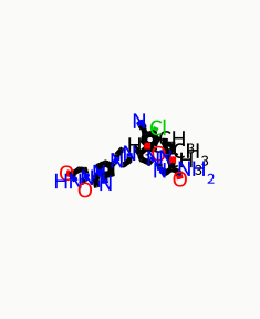 CC1(C)CC(C)(C)C1(Oc1ccc(C#N)c(Cl)c1)N1C=C(C(N)=O)C=NC1N1CCC(CN2CCN(c3ccn4c(N5CCC(=O)NC5=O)cnc4c3)CC2)CC1